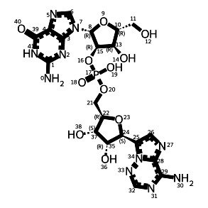 Nc1nc2c(ncn2[C@@H]2O[C@H](CO)[C@@H](O)[C@H]2OP(=O)(O)OC[C@H]2O[C@@H](c3cnc4c(N)ncnn34)[C@H](O)[C@@H]2O)c(=O)[nH]1